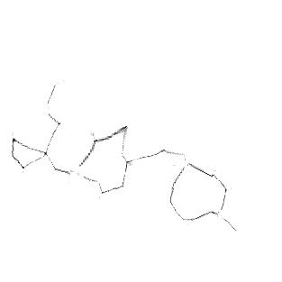 CCOCC1(CN2CCC(CN3CCN(C)CC3)CC2)CC1